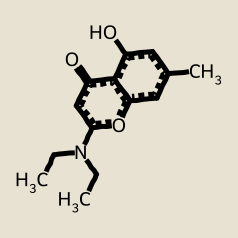 CCN(CC)c1cc(=O)c2c(O)cc(C)cc2o1